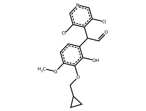 COc1ccc(C(C=O)c2c(Cl)cncc2Cl)c(O)c1OCC1CC1